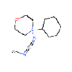 CCN=C=N[N+]1(C2CCCCC2)CCOCC1